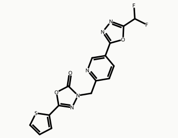 O=c1oc(-c2cccs2)nn1Cc1ccc(-c2nnc(C(F)F)o2)cn1